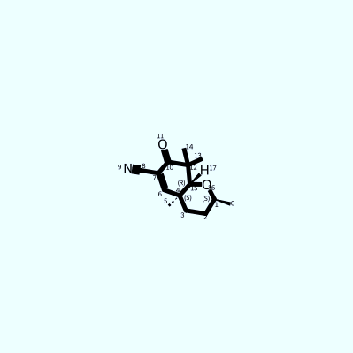 C[C@H]1CC[C@@]2(C)C=C(C#N)C(=O)C(C)(C)[C@@H]2O1